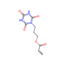 C=CC(=O)OCCCn1c(=O)[nH]c(=O)[nH]c1=O